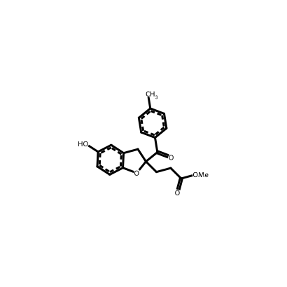 COC(=O)CCC1(C(=O)c2ccc(C)cc2)Cc2cc(O)ccc2O1